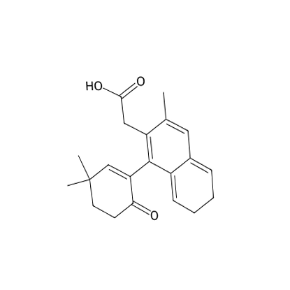 Cc1cc2c(c(C3=CC(C)(C)CCC3=O)c1CC(=O)O)=CCCC=2